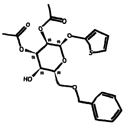 CC(=O)O[C@H]1[C@H](Oc2cccs2)O[C@H](COCc2ccccc2)[C@H](O)[C@@H]1OC(C)=O